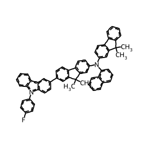 CC1(C)c2ccccc2-c2ccc(N(c3ccc4c(c3)C(C)(C)c3cc(-c5ccc6c(c5)c5ccccc5n6-c5ccc(F)cc5)ccc3-4)c3cccc4ccccc34)cc21